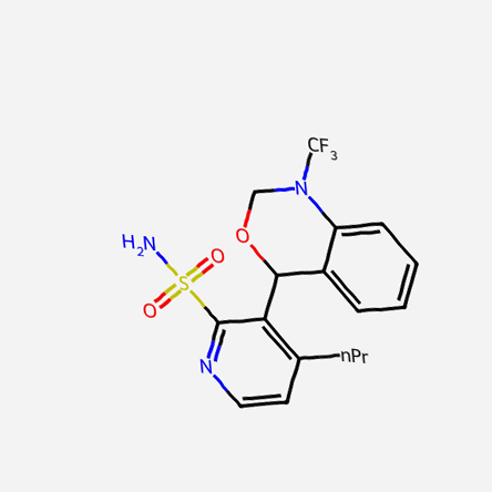 CCCc1ccnc(S(N)(=O)=O)c1C1OCN(C(F)(F)F)c2ccccc21